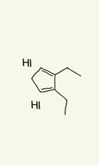 CCC1=CCC=C1CC.I.I